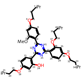 COc1cc(OCCC(C)C)ccc1-c1nc(-c2ccc(OCCC(C)C)cc2O)nc(-c2ccc(OCCC(C)C)cc2OCCC(C)C)n1